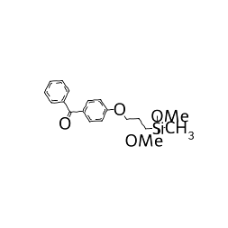 CO[Si](C)(CCCOc1ccc(C(=O)c2ccccc2)cc1)OC